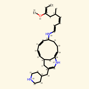 CC/C=C(\CC(C)/C=C\C=C\NC1C=CC=CC2CC(CC3CCNCC3)=CN/C(=C/CC1)C2)OCC